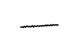 [CH2]CCCCCCCCC=CCCCCCCCCCCCCCCCCCCC